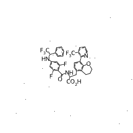 O=C(NC(Cc1ccc(-c2ncccc2C(F)(F)F)c2c1CCCO2)C(=O)O)c1c(F)cc(N[C@H](c2ccccc2)C(F)(F)F)cc1F